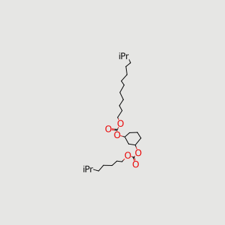 CC(C)CCCCCCCCCCOC(=O)OC1CCCC(OC(=O)OCCCCCC(C)C)C1